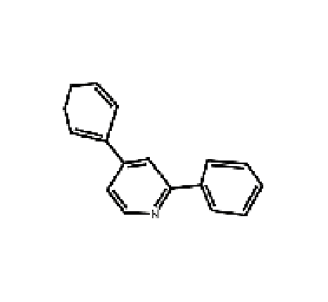 C1=CC(c2ccnc(-c3ccccc3)c2)=CCC1